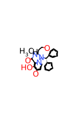 CN1C(=O)c2c(O)c(=O)ccn2N2[C@@H](c3ccccc3)c3ccccc3OCC[C@H]12